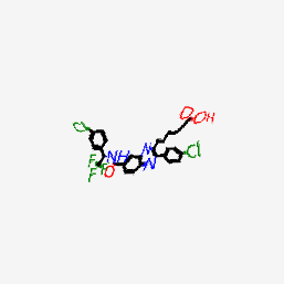 O=C(O)CCCCc1nc2cc(C(=O)N[C@@H](c3ccc(Cl)cc3)C(F)(F)F)ccc2nc1-c1ccc(Cl)cc1